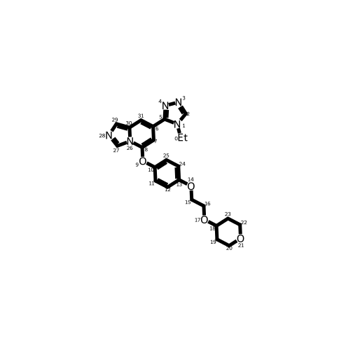 CCn1cnnc1-c1cc(Oc2ccc(OCCOC3CCOCC3)cc2)n2cncc2c1